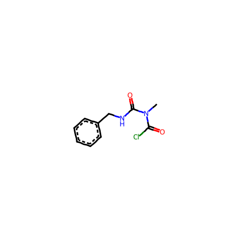 CN(C(=O)Cl)C(=O)NCc1ccccc1